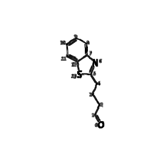 O=CCCCc1nc2ccccc2s1